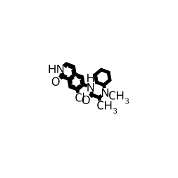 CC(C(=O)Nc1cc2cc[nH]c(=O)c2cc1Cl)N(C)C1CCCCC1